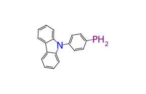 Pc1ccc(-n2c3ccccc3c3ccccc32)cc1